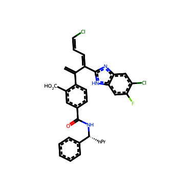 C=C(/C(=C\C=C/Cl)c1nc2cc(Cl)c(F)cc2[nH]1)c1ccc(C(=O)N[C@H](CCC)c2ccccc2)cc1C(=O)O